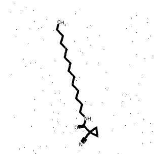 CCCCCCCCCCCCCCNC(=O)C1(C#N)CC1